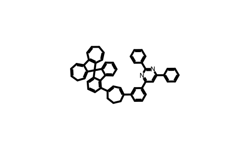 C1=CCC=C2C(=C1)C1=C(C=CCC=C1)C21c2ccccc2-c2c(C3=CC=C(c4cccc(-c5cc(-c6ccccc6)nc(-c6ccccc6)n5)c4)CCC3)cccc21